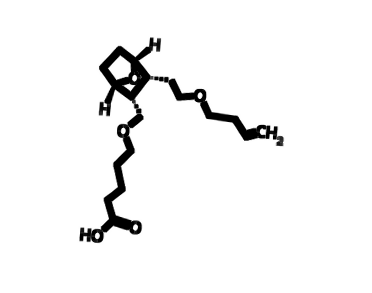 C=CCCOCC[C@@H]1[C@H](COCCCCC(=O)O)[C@@H]2CC[C@H]1O2